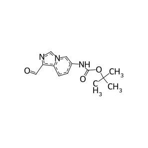 CC(C)(C)OC(=O)Nc1ccc2c(C=O)ncn2c1